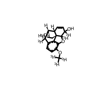 [2H]C([2H])([2H])Oc1ccc2c3c1OC1([2H])C([2H])(O)C=C[C@H]4[C@H](N(C)CC[C@@]341)C2([2H])[2H]